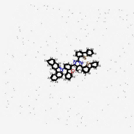 CCC1C(c2ccc(-n3c4cc5ccccc5cc4c4c5ccccc5ccc43)c3c2oc2ccccc23)=NC(c2cccc3c2sc2ccccc23)=NC1c1cccc2c1sc1ccccc12